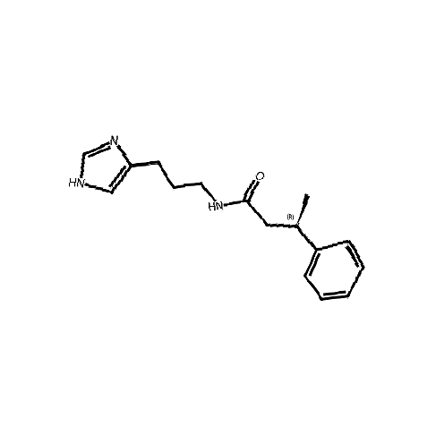 C[C@H](CC(=O)NCCCc1c[nH]cn1)c1ccccc1